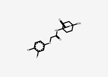 O=C(COc1ccc(Cl)c(F)c1)NC12CCC(O)(CC1)CC2=O